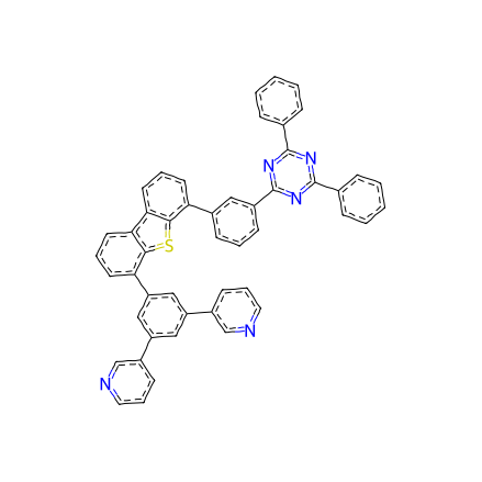 c1ccc(-c2nc(-c3ccccc3)nc(-c3cccc(-c4cccc5c4sc4c(-c6cc(-c7cccnc7)cc(-c7cccnc7)c6)cccc45)c3)n2)cc1